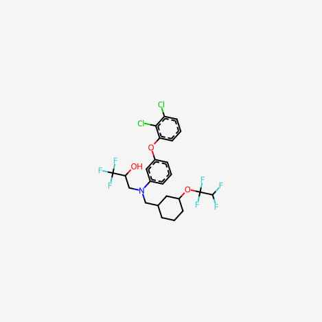 OC(CN(CC1CCCC(OC(F)(F)C(F)F)C1)c1cccc(Oc2cccc(Cl)c2Cl)c1)C(F)(F)F